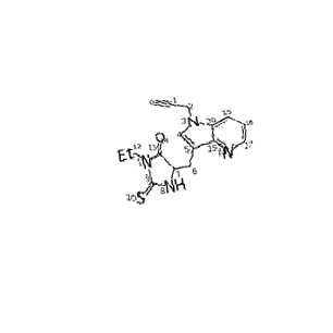 C#CCn1cc(CC2NC(=S)N(CC)C2=O)c2ncccc21